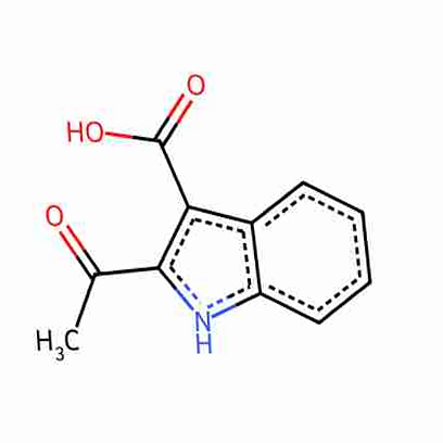 CC(=O)c1[nH]c2ccccc2c1C(=O)O